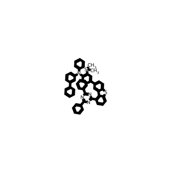 C[Si]1(C)c2ccccc2N(c2cccc(-c3ccccc3)c2)c2ccc(-c3ccc4sc5cccc(-c6nc(-c7ccccc7)nc(-c7ccccc7)n6)c5c4c3)cc21